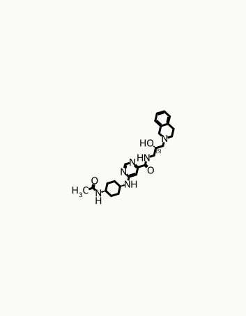 CC(=O)N[C@H]1CC[C@@H](Nc2cc(C(=O)NC[C@H](O)CN3CCc4ccccc4C3)ncn2)CC1